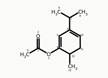 CC(=O)OC1=CC(C(C)C)=CCC1C